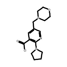 O=C(Cl)c1cc(CN2CCOCC2)cnc1N1CCCC1